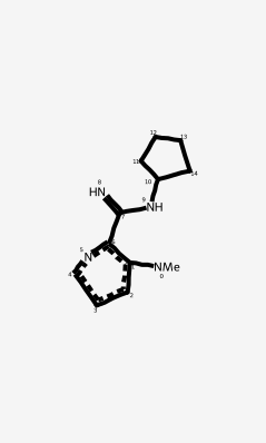 CNc1cccnc1C(=N)NC1CCCC1